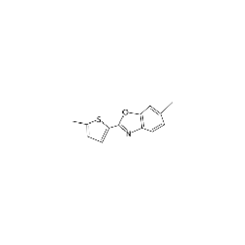 Cc1ccc2nc(-c3ccc(C)s3)oc2c1